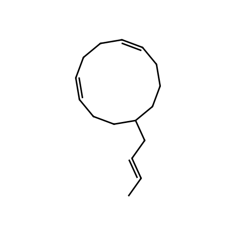 CC=CCC1CCC=CCCC=CCCC1